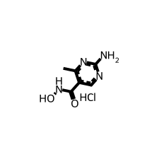 Cc1nc(N)ncc1C(=O)NO.Cl